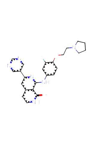 O=c1[nH]ccc2cc(-c3cncnc3)nc(Nc3ccc(OCCN4CCCC4)c(F)c3)c12